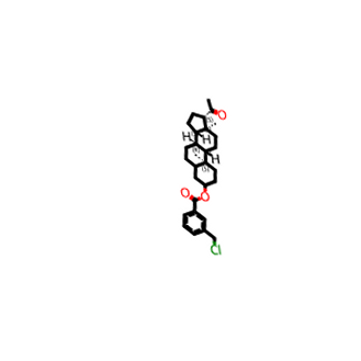 CC(=O)[C@H]1CC[C@H]2[C@@H]3CCC4CC(OC(=O)c5cccc(CCl)c5)CC[C@]4(C)[C@H]3CC[C@]12C